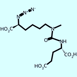 CN(CCCC[C@H](N=[N+]=[N-])C(=O)O)C(=O)N[C@@H](CCC(=O)O)C(=O)O